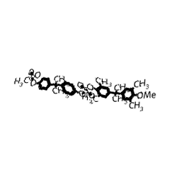 COc1c(C)cc(C(C)(C)c2cc(C)c(OS(=O)(=O)Oc3ccc(C(C)(C)c4ccc(OS(C)(=O)=O)cc4)cc3)c(C)c2)cc1C